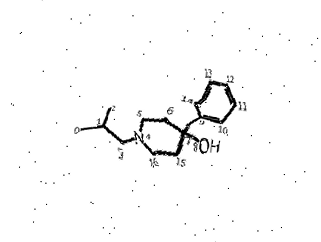 CC(C)CN1CCC(O)(c2ccccc2)CC1